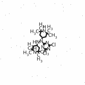 CC1(C)CC(NN(c2nc(Cl)nc(Cl)n2)C2CC(C)(C)NC(C)(C)C2)CC(C)(C)N1